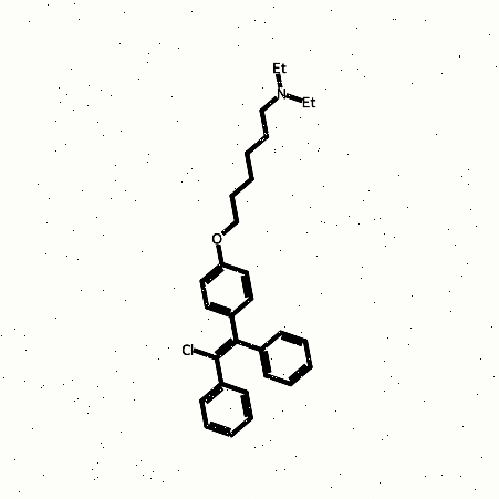 CCN(CC)CCCCCCOc1ccc(/C(=C(\Cl)c2ccccc2)c2ccccc2)cc1